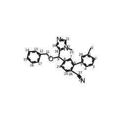 Cc1cccc(-c2cc(C(OCc3ccccc3)c3cncn3C)ccc2C#N)c1